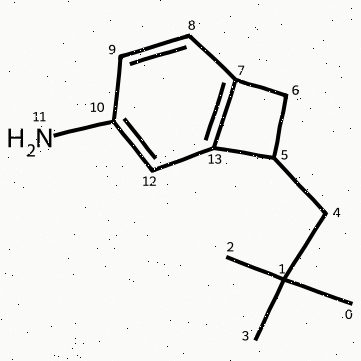 CC(C)(C)CC1Cc2ccc(N)cc21